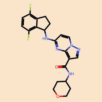 O=C(NC1CCOCC1)c1cnn2ccc(NC3CCc4c(F)ccc(F)c43)nc12